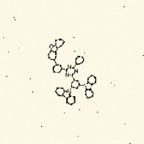 c1ccc(-c2nc(-c3cccc(-c4ccc5oc6ccccc6c5c4)c3)nc(-c3cc(-n4c5ccccc5c5ccccc54)cc(-n4c5ccccc5c5ccccc54)c3)n2)cc1